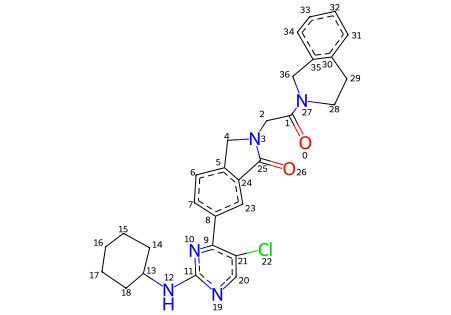 O=C(CN1Cc2ccc(-c3nc(NC4CCCCC4)ncc3Cl)cc2C1=O)N1CCc2ccccc2C1